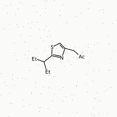 CCC(CC)c1nc(CC(C)=O)cs1